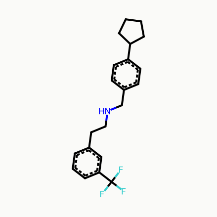 FC(F)(F)c1cccc(CCNCc2ccc(C3CCCC3)cc2)c1